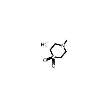 CN1CCS(=O)(=O)CC1.Cl